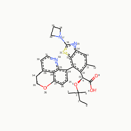 CCC(C)(C)O[C@H](C(=O)O)c1c(C)cc2nc(N3CCC3)sc2c1-c1ccc2c3c(ccnc13)CCO2